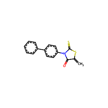 C=C1SC(=S)N(c2ccc(-c3ccccc3)cc2)C1=O